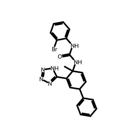 CC1(NC(=O)Nc2ccccc2Br)C=CC(c2ccccc2)C=C1c1nnn[nH]1